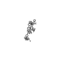 COCCNS(=O)(=O)c1cc(-c2ccc3nc(NCc4ccc(S(N)(=O)=O)cc4)nc(NCC(F)(F)F)c3n2)ccc1Cl